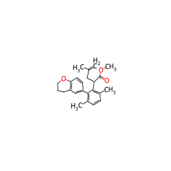 C=C(C)CC(C(=O)OC)c1c(C)ccc(C)c1-c1ccc2c(c1)CCCO2